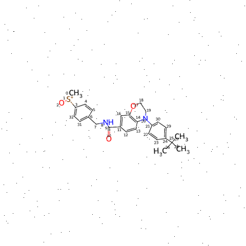 C[S+]([O-])c1ccc(CNC(=O)c2ccc3c(c2)OCCN3c2ccc(C(C)(C)C)cc2)cc1